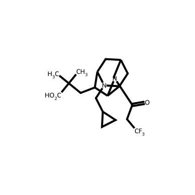 CC(C)(CC1C2C3CC(CC1N3CC1CC1)CN2C(=O)CC(F)(F)F)C(=O)O